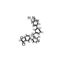 CC1N=CC=C(c2ccc3occ(Cl)c3c2)N1[C@@H](C)c1cccc(-c2cnc(N)nc2)c1